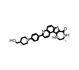 C[C@@H]1CNc2c(sc3ccc4nc(-c5ccc(N6CCC(CO)CC6)cc5)ccc4c23)C(=O)N1